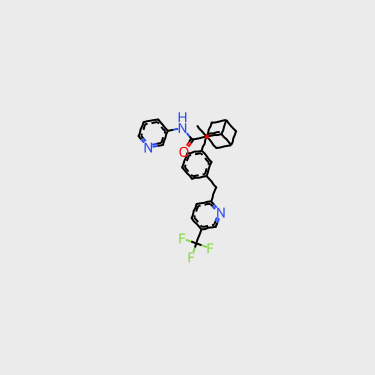 CC(=C1C2CC(C(=O)Nc3cccnc3)CC1C2)c1cccc(Cc2ccc(C(F)(F)F)cn2)c1